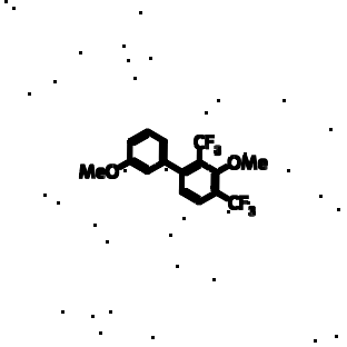 COc1cccc(-c2ccc(C(F)(F)F)c(OC)c2C(F)(F)F)c1